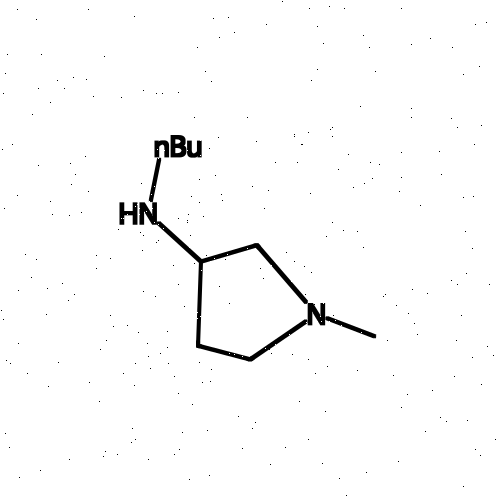 CCCCNC1CCN(C)C1